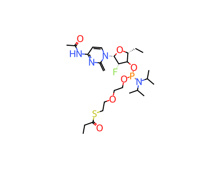 C=C1N=C(NC(C)=O)C=CN1[C@@H]1O[C@H](CC)C(OP(OCCOCCSC(=O)CC)N(C(C)C)C(C)C)[C@@H]1F